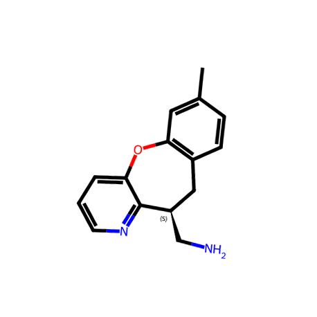 Cc1ccc2c(c1)Oc1cccnc1[C@H](CN)C2